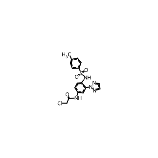 Cc1ccc(S(=O)(=O)Nc2ccc(NC(=O)CCl)cc2-n2nccn2)cc1